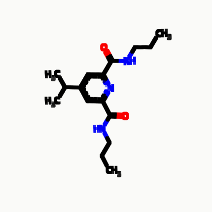 CCCNC(=O)c1cc(C(C)C)cc(C(=O)NCCC)n1